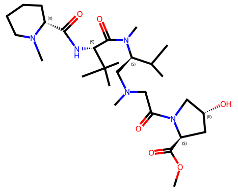 COC(=O)[C@@H]1C[C@@H](O)CN1C(=O)CN(C)C[C@H](C(C)C)N(C)C(=O)[C@@H](NC(=O)[C@H]1CCCCN1C)C(C)(C)C